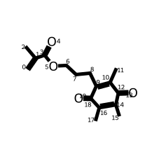 C=C(C)C(=O)OCCCC1=C(C)C(=O)C(C)=C(C)C1=O